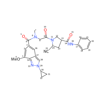 COc1cc(C(=O)N(C)CC(=O)N2CC(C(=O)Nc3ccccc3)CC2C#N)cc2cn(C3CC3)nc12